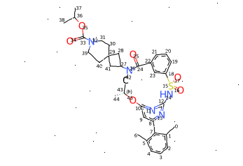 Cc1cccc(C)c1-c1cc2nc(n1)NS(=O)(=O)c1cccc(c1)C(=O)N(C1CC3(CCN(C(=O)OC(C)C)CC3)C1)C[C@@H](C)O2